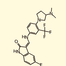 CN(C)C1CCN(c2ccc(NC=C3C(=O)Nc4ccc(F)cc43)cc2C(F)(F)F)C1